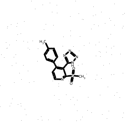 Cc1ccc(-c2ccnc(S(C)(=O)=O)c2-c2nnn[nH]2)cc1